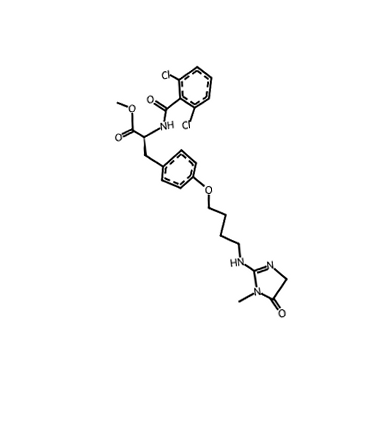 COC(=O)[C@H](Cc1ccc(OCCCCNC2=NCC(=O)N2C)cc1)NC(=O)c1c(Cl)cccc1Cl